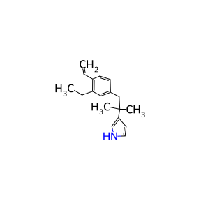 C=Cc1ccc(CC(C)(C)c2cc[nH]c2)cc1CC